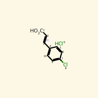 Cl.O=C(O)/C=C/c1ccc(Cl)cc1